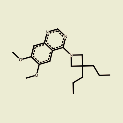 CCCC1(CCC)CN(c2ncnc3cc(OC)c(OC)cc23)C1